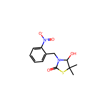 CC1(C)SC(=O)N(Cc2ccccc2[N+](=O)[O-])C1O